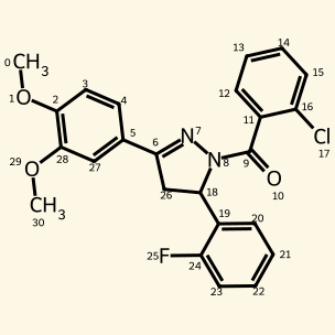 COc1ccc(C2=NN(C(=O)c3ccccc3Cl)C(c3ccccc3F)C2)cc1OC